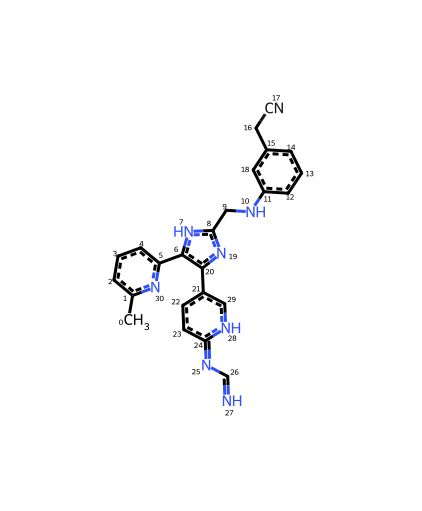 Cc1cccc(-c2[nH]c(CNc3cccc(CC#N)c3)nc2-c2cc/c(=N/C=N)[nH]c2)n1